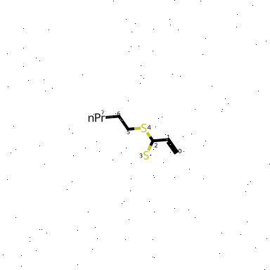 C=CC([S])SCCCCC